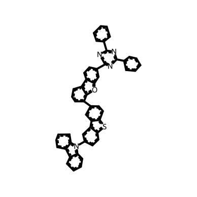 c1ccc(-c2nc(-c3ccccc3)nc(-c3ccc4c(c3)oc3c(-c5ccc6sc7ccc(-n8c9ccccc9c9ccccc98)cc7c6c5)cccc34)n2)cc1